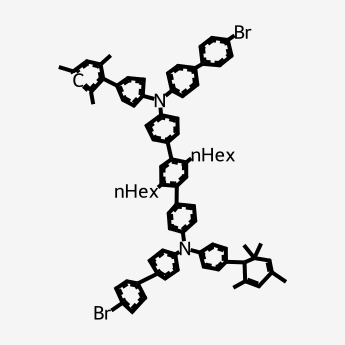 CCCCCCc1cc(-c2ccc(N(c3ccc(-c4ccc(Br)cc4)cc3)c3ccc(C4C(C)=CC(C)=CC4(C)C)cc3)cc2)c(CCCCCC)cc1-c1ccc(N(c2ccc(-c3ccc(Br)cc3)cc2)c2ccc(-c3c(C)cc(C)cc3C)cc2)cc1